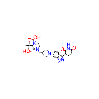 Cn1nc(C2CCC(=O)NC2=O)c2ccc(N3CCC(CN4CCN(C(=O)O)C(C(C)(C)C)[C@H]4CO)CC3)cc21